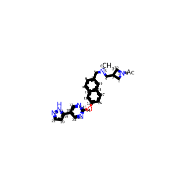 CC(=O)N1CC(CN(C)Cc2ccc3cc(Oc4ncc(-c5ccn[nH]5)cn4)ccc3c2)C1